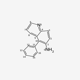 Nc1ccc2ncccc2c1-c1ccccc1